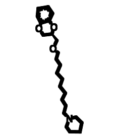 c1ccc2c(c1)OC[C@H](COCCCCCCCCCCN1CCCCC1)O2